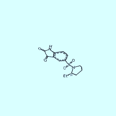 CC[C@@H]1CCCN1S(=O)(=O)c1ccc2c(c1)C(=O)C(=O)N2